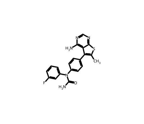 Cc1sc2ncnc(N)c2c1-c1ccc(N(C(N)=O)c2cccc(F)c2)cc1